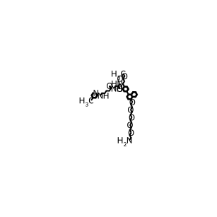 COC(=O)CC(NC(=O)CNC(=O)CCCCNc1cc(C)ccn1)c1ccc(-c2ccc(OCCOCCOCCOCCOCCN)c3ccccc23)cc1